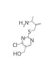 C=C(CSc1ncc(CO)c(Cl)n1)C(C)N